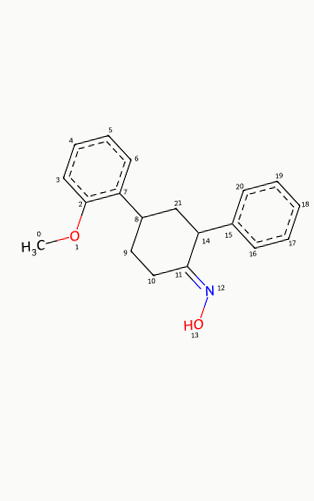 COc1ccccc1C1CCC(=NO)C(c2ccccc2)C1